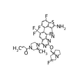 C=CC(=O)N1CCN(c2nc(OC[C@@]34CCCN3C[C@H](F)C4)nc3c(F)c(-c4ccc(F)c5sc(N)c(C#N)c45)c(C(F)(F)F)cc23)[C@@H](C)C1